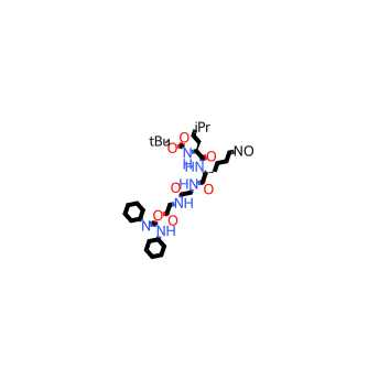 CC(C)CC[C@H](NC(=O)OC(C)(C)C)C(=O)N[C@H](CCCCN=O)C(=O)NCC(=O)NCC(=O)O/C(=N\C1CCCCC1)NC1CCCCC1